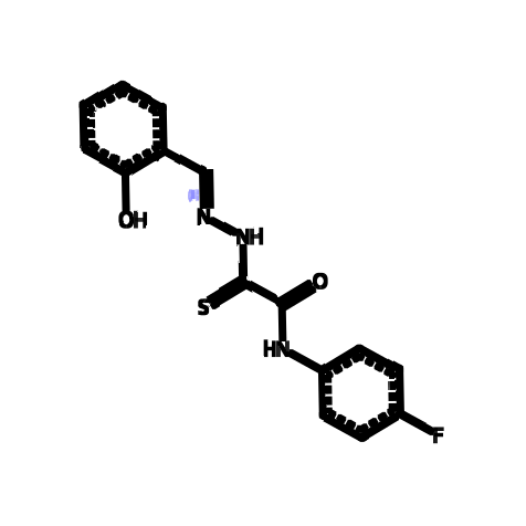 O=C(Nc1ccc(F)cc1)C(=S)N/N=C/c1ccccc1O